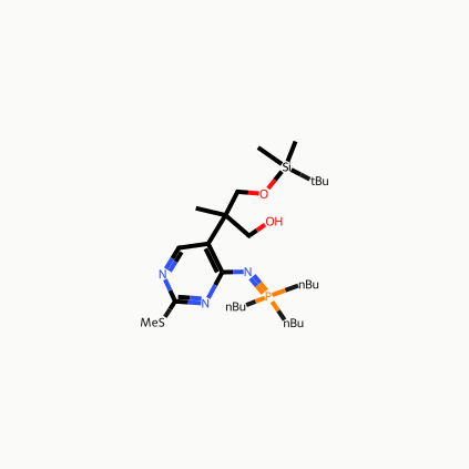 CCCCP(CCCC)(CCCC)=Nc1nc(SC)ncc1C(C)(CO)CO[Si](C)(C)C(C)(C)C